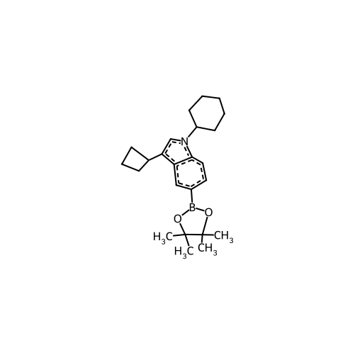 CC1(C)OB(c2ccc3c(c2)c(C2CCC2)cn3C2CCCCC2)OC1(C)C